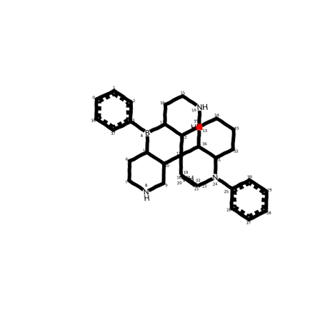 c1ccc(B2C3CCNCC3C3(C4CNCCC24)C2NCCCC2N(c2ccccc2)C2CCCNC23)cc1